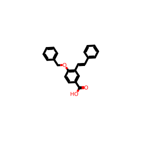 O=C(O)c1ccc(OCc2ccccc2)c(C=Cc2ccccc2)c1